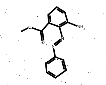 COC(=O)c1cccc(N)c1N=Nc1ccccc1